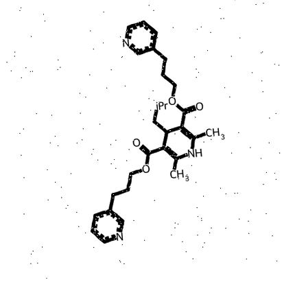 CC1=C(C(=O)OCCCc2cccnc2)C(CC(C)C)C(C(=O)OCCCc2cccnc2)=C(C)N1